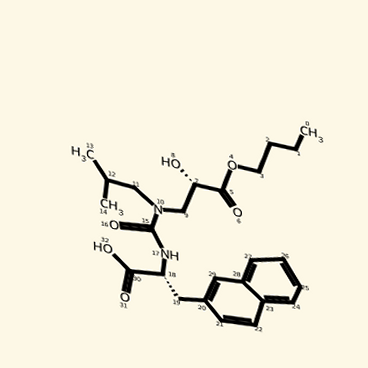 CCCCOC(=O)[C@@H](O)CN(CC(C)C)C(=O)N[C@H](Cc1ccc2ccccc2c1)C(=O)O